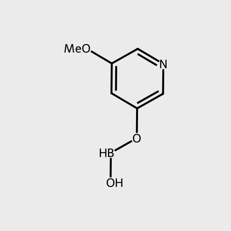 COc1cncc(OBO)c1